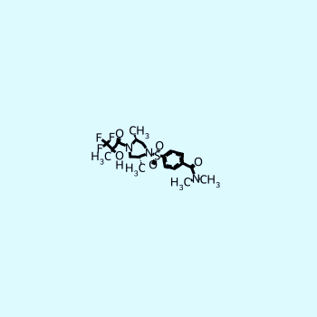 C[C@@H]1CN(C(=O)[C@@](C)(O)C(F)(F)F)[C@@H](C)CN1S(=O)(=O)c1ccc(C(=O)N(C)C)cc1